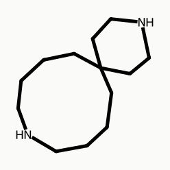 C1CCC2(CCCCNC1)CCNCC2